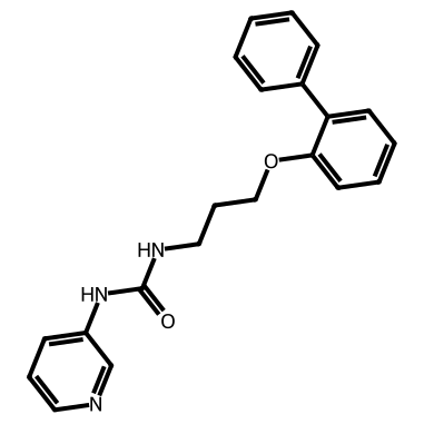 O=C(NCCCOc1ccccc1-c1ccccc1)Nc1cccnc1